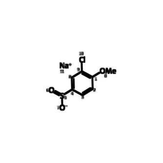 COc1ccc(S(=O)[O-])cc1Cl.[Na+]